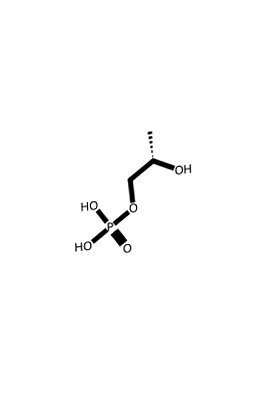 C[C@H](O)COP(=O)(O)O